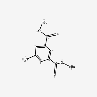 CCCCOC(=O)c1cc(N)cc(C(=O)OCCCC)c1